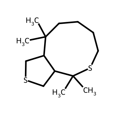 CC1(C)CCCCSC(C)(C)C2CSCC21